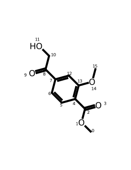 COC(=O)c1ccc(C(=O)CO)cc1OC